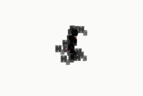 CCc1cc(Nc2nccn3c(-c4ccc(C)c(F)c4F)cnc23)ccc1C(=O)NC(C)CNC